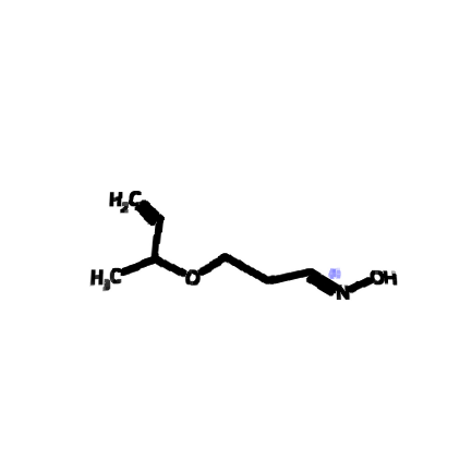 C=CC(C)OCC/C=N/O